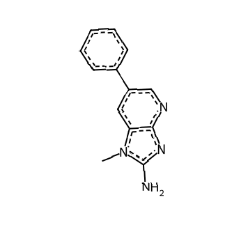 Cn1c(N)nc2ncc(-c3ccccc3)cc21